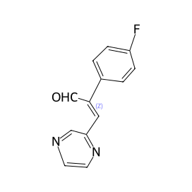 O=C/C(=C\c1cnccn1)c1ccc(F)cc1